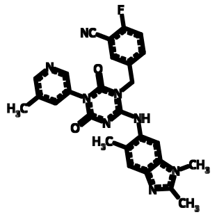 Cc1cncc(-n2c(=O)nc(Nc3cc4c(cc3C)nc(C)n4C)n(Cc3ccc(F)c(C#N)c3)c2=O)c1